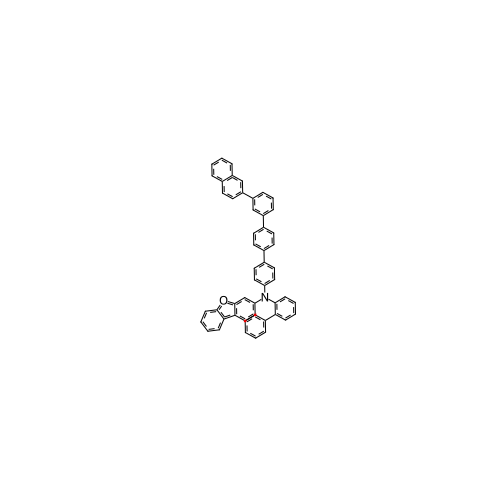 c1ccc(-c2ccccc2N(c2ccc(-c3ccc(-c4cccc(-c5ccc6ccccc6c5)c4)cc3)cc2)c2ccc3c(c2)oc2ccccc23)cc1